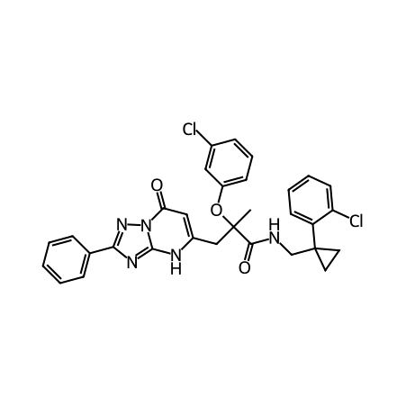 CC(Cc1cc(=O)n2nc(-c3ccccc3)nc2[nH]1)(Oc1cccc(Cl)c1)C(=O)NCC1(c2ccccc2Cl)CC1